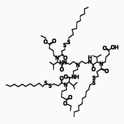 CCCCCCCCCCSSCCC(=O)N(CCCC(=O)O)C(C(=O)NCCN(CCNC(=O)C(C(C)C)N(CCCC(=O)OCC)C(=O)CCSSCCCCCCCCCC)CCNC(=O)C(C(C)C)N(CCCC(=O)OCC)C(=O)CCSSCCCCCCCCCC)C(C)C